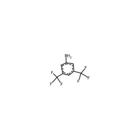 Bc1cc(C(F)(F)F)cc(C(F)(F)F)c1